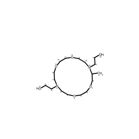 CC1COCCOCCN(CCO)CCOCCOCCN1CCO